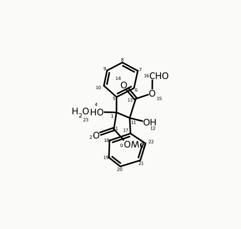 COC(=O)C(O)(c1ccccc1)C(O)(C(=O)OC=O)c1ccccc1.O